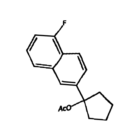 CC(=O)OC1(c2ccc3c(F)cccc3c2)CCCC1